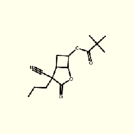 CCCC1(C#N)C(=O)OC2C(OC(=O)C(C)(C)C)CC21